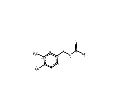 NC(=O)OCc1ccc(N)c(C(F)(F)F)c1